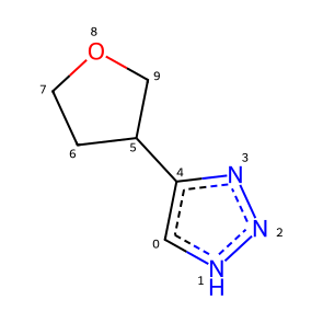 c1[nH]nnc1C1CCOC1